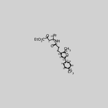 CCOC(=O)C(=O)CC(NC(=O)CCc1cc(-c2ccc(C(F)(F)F)cc2)oc1C)C(C)C